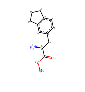 CC(C)(C)OC(=O)[C@@H](N)Cc1ccc2c(c1)CCC2